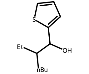 CCCCC(CC)C(O)c1cccs1